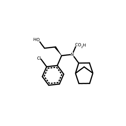 O=C(O)N(C1CC2CCC1C2)[C@H](CCO)c1ccccc1Cl